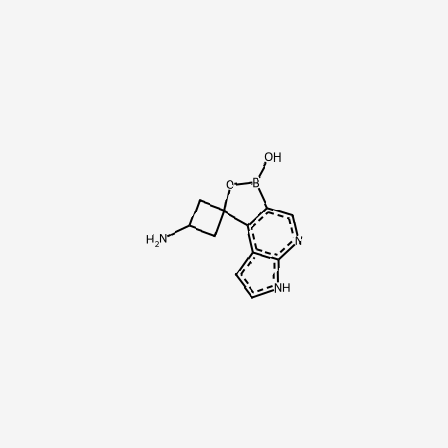 NC1CC2(C1)OB(O)c1cnc3[nH]ccc3c12